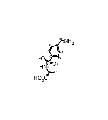 C[C@H](NS(=O)(=O)c1ccc(CN)cc1)C(=O)O